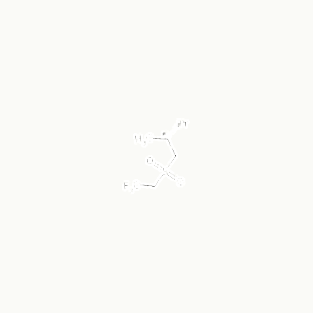 CC(C)[C@@H](C)CS(=O)(=O)CC(F)(F)F